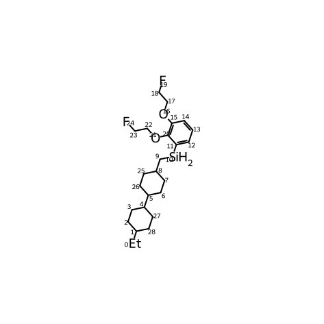 CCC1CCC(C2CCC(C[SiH2]c3cccc(OCCF)c3OCCF)CC2)CC1